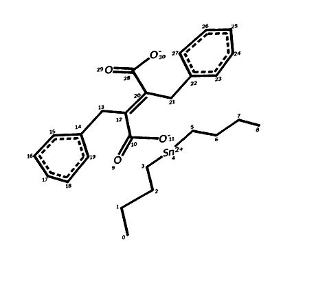 CCC[CH2][Sn+2][CH2]CCC.O=C([O-])C(Cc1ccccc1)=C(Cc1ccccc1)C(=O)[O-]